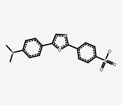 CN(C)c1ccc(-c2cnc(-c3ccc(S(=O)(=O)Cl)cc3)o2)cc1